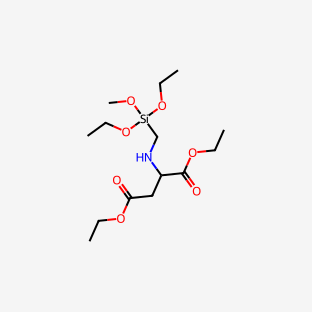 CCOC(=O)CC(NC[Si](OC)(OCC)OCC)C(=O)OCC